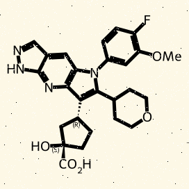 COc1cc(-n2c(C3CCOCC3)c([C@@H]3CC[C@@](O)(C(=O)O)C3)c3nc4[nH]ncc4cc32)ccc1F